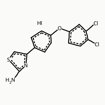 I.Nc1nc(-c2ccc(Oc3ccc(Cl)c(Cl)c3)cc2)cs1